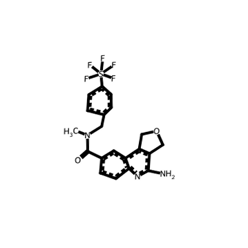 CN(Cc1ccc(S(F)(F)(F)(F)F)cc1)C(=O)c1ccc2nc(N)c3c(c2c1)COC3